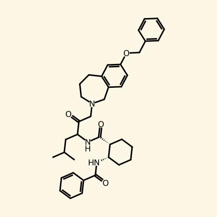 CC(C)CC(NC(=O)[C@@H]1CCCC[C@@H]1NC(=O)c1ccccc1)C(=O)CN1CCCc2cc(OCc3ccccc3)ccc2C1